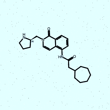 O=C(CC1CCCCCC1)Nc1cccc2c(=O)n(C[C@H]3CCCN3)ccc12